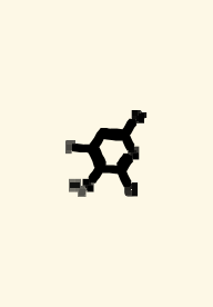 Nc1c(F)cc(Br)nc1Cl